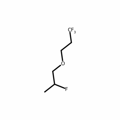 CC(F)COCCC(F)(F)F